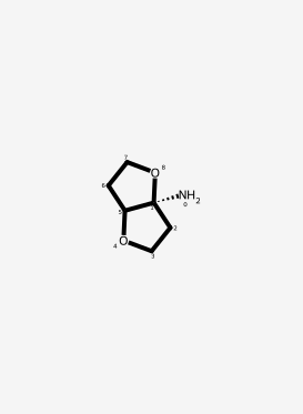 N[C@]12CCOC1CCO2